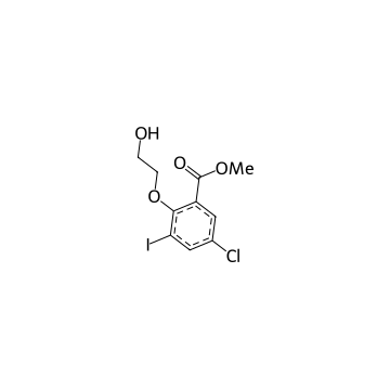 COC(=O)c1cc(Cl)cc(I)c1OCCO